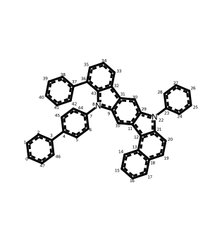 c1ccc(-c2ccc(-n3c4cc5c6c7ccccc7ccc6n(-c6ccccc6)c5cc4c4cccc(-c5ccccc5)c43)cc2)cc1